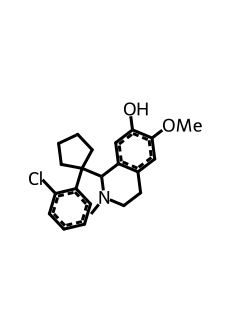 COc1cc2c(cc1O)C(C1(c3ccccc3Cl)CCCC1)N(C)CC2